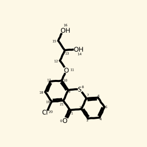 O=c1c2ccccc2sc2c(OCC(O)CO)ccc(Cl)c12